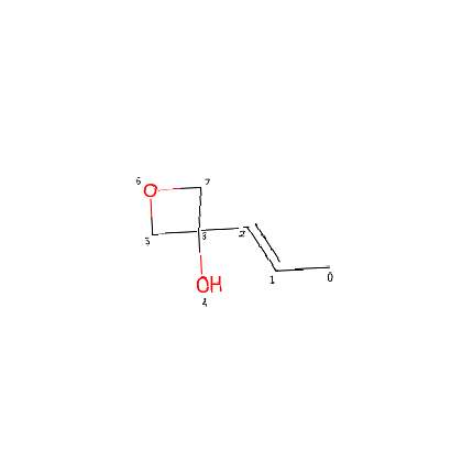 CC=CC1(O)COC1